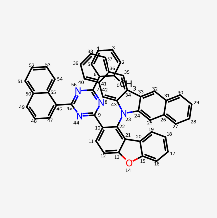 CC1C=CC=CC1c1nc(-c2ccc3oc4ccccc4c3c2-n2c3cc4ccccc4cc3c3cc4ccccc4cc32)nc(-c2cccc3ccccc23)n1